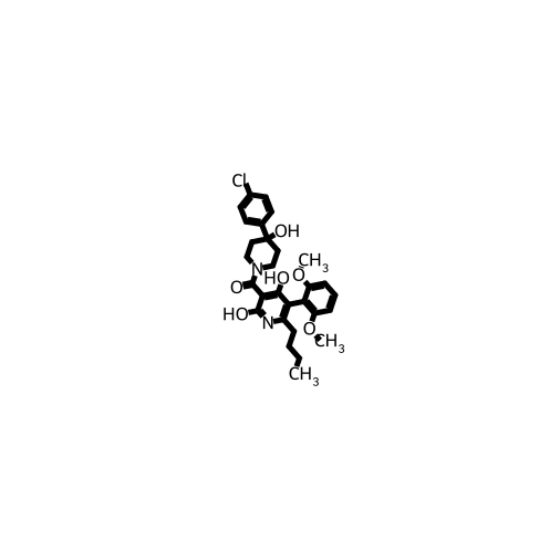 CCCCc1nc(O)c(C(=O)N2CCC(O)(c3ccc(Cl)cc3)CC2)c(O)c1-c1c(OC)cccc1OC